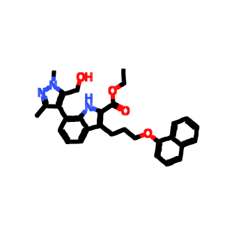 CCOC(=O)c1[nH]c2c(-c3c(C)nn(C)c3CO)cccc2c1CCCOc1cccc2ccccc12